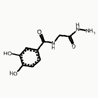 NNC(=O)CNC(=O)c1ccc(O)c(O)c1